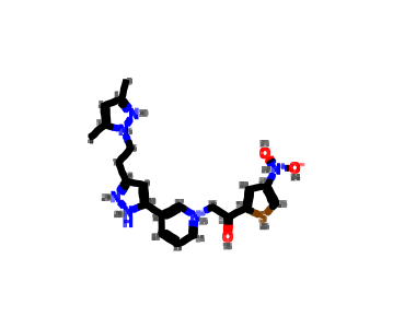 Cc1cc(C)n(CCc2cc(-c3ccc[n+](CC(=O)c4cc([N+](=O)[O-])cs4)c3)[nH]n2)n1